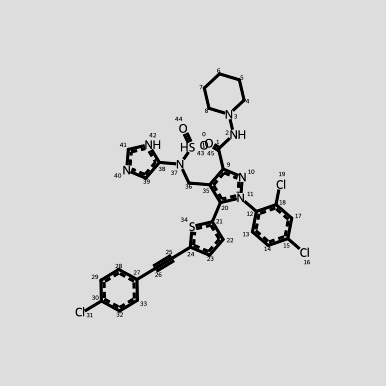 O=C(NN1CCCCC1)c1nn(-c2ccc(Cl)cc2Cl)c(-c2ccc(C#Cc3ccc(Cl)cc3)s2)c1CN(c1cnc[nH]1)[SH](=O)=O